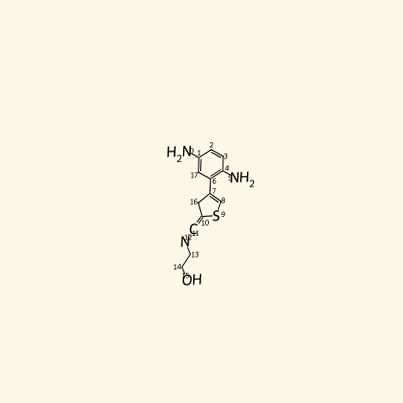 Nc1ccc(N)c(C2=CSC(=C=NCCO)C2)c1